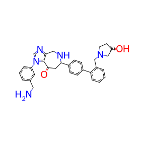 NCc1cccc(-n2cnc3c2C(=O)CC(c2ccc(-c4ccccc4CN4CC[C@@H](O)C4)cc2)NC3)c1